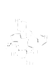 CCC[C@H]1CNC(=O)c2c1[nH]c(-c1ccncc1OC[C@@H]1CNCCO1)c2Nc1cccc(Cl)c1OC